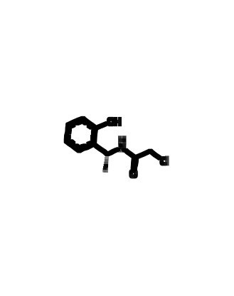 C[C@@H](NC(=O)CCl)c1ccccc1O